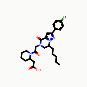 CCCCCC1CN(CC(=O)N2CCCCC2CC(=O)O)C(=O)c2cc(-c3ccc(Cl)cc3)nn21